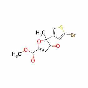 COC(=O)C1=CC(=O)C(C)(c2csc(Br)c2)O1